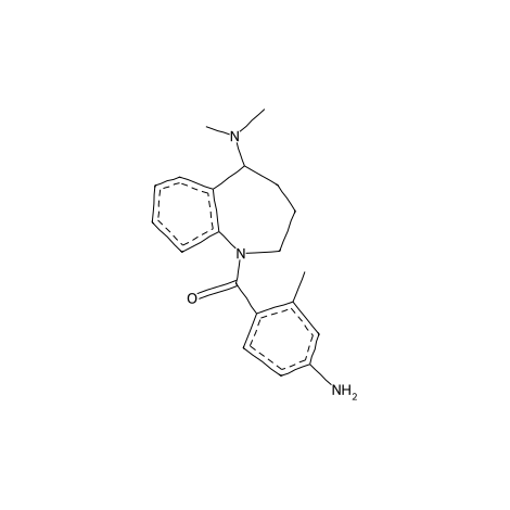 Cc1cc(N)ccc1C(=O)N1CCCC(N(C)C)c2ccccc21